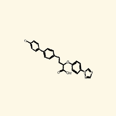 O=C(O)C(CCc1ccc(-c2ccc(Cl)cc2)cc1)Oc1ccc(-n2cncn2)cc1